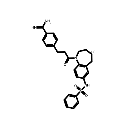 Cl.N=C(N)c1ccc(CCC(=O)N2CCCCc3cc(NS(=O)(=O)c4ccccc4)ccc32)cc1